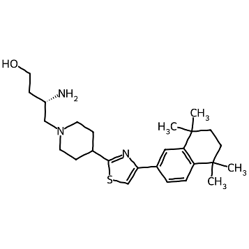 CC1(C)CCC(C)(C)c2cc(-c3csc(C4CCN(C[C@@H](N)CCO)CC4)n3)ccc21